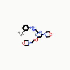 Cc1cccc(NN=Cc2nc(OCCN3CCOCC3)cc(N3CCOCC3)n2)c1